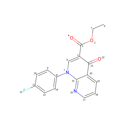 CCOC(=O)c1cn(-c2ccc(F)cc2)c2ncccc2c1=O